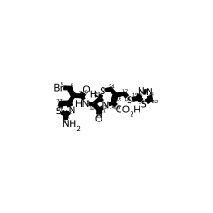 Nc1nc(/C(=C\Br)C(=O)NC2C(=O)N3C(C(=O)O)=C(CSc4nncs4)CS[C@H]23)cs1